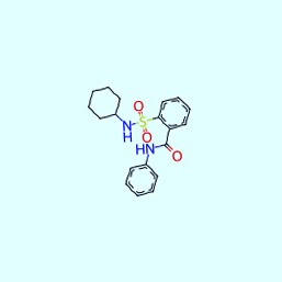 O=C(Nc1ccccc1)c1ccccc1S(=O)(=O)NC1CCCCC1